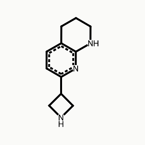 c1cc2c(nc1C1CNC1)NCCC2